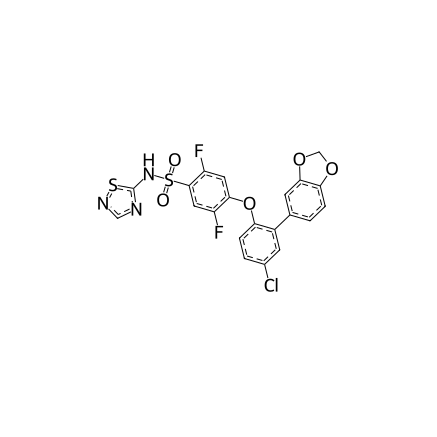 O=S(=O)(Nc1ncns1)c1cc(F)c(Oc2ccc(Cl)cc2-c2ccc3c(c2)OCO3)cc1F